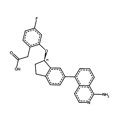 Nc1nccc2c(-c3ccc4c(c3)[C@H](Oc3cc(F)ccc3CC(=O)O)CC4)cccc12